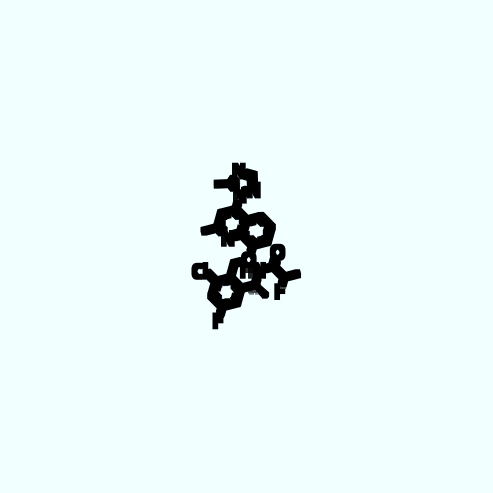 Cc1cc(-n2ncnc2C)c2cccc(OCc3c(Cl)cc(F)cc3[C@H](C)NC(=O)C(C)F)c2n1